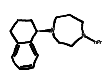 CCCN1CCCN([C@@H]2CCCc3ccccc32)CC1